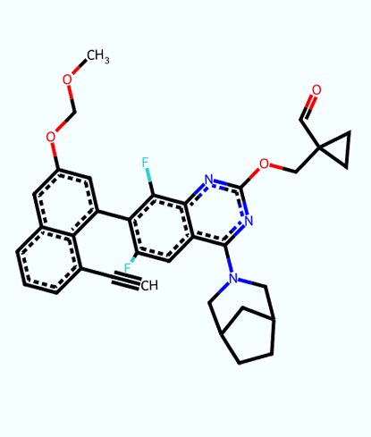 C#Cc1cccc2cc(OCOC)cc(-c3c(F)cc4c(N5CC6CCC(C6)C5)nc(OCC5(C=O)CC5)nc4c3F)c12